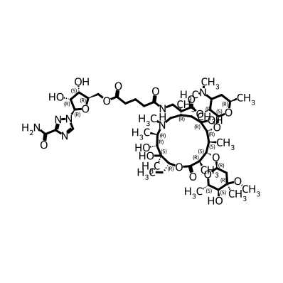 CC[C@H]1OC(=O)[C@H](C)[C@@H](O[C@H]2C[C@@](C)(OC)[C@@H](O)[C@H](C)O2)[C@H](C)[C@@H](O[C@@H]2O[C@H](C)CC(N(C)C)[C@H]2OC(=O)CCNC(=O)CCCC(=O)OC[C@H]2O[C@@H](n3cnc(C(N)=O)n3)[C@H](O)[C@@H]2O)[C@](C)(O)C[C@@H](C)CN(C)[C@H](C)[C@@H](O)[C@]1(C)O